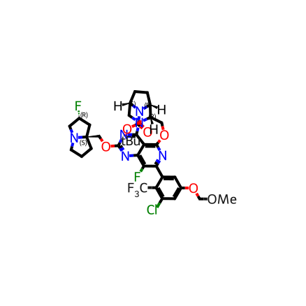 COCOc1cc(Cl)c(C(F)(F)F)c(-c2nc3c4c(nc(OC[C@@]56CCCN5C[C@H](F)C6)nc4c2F)N2C[C@@H]4CC[C@H]([C@@H]2CO3)N4C(=O)OC(C)(C)C)c1